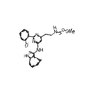 COOSNCCc1cc(Nc2n[nH]c3ccccc23)nc(-c2ccccc2Cl)n1